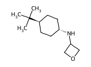 CC(C)(C)[C@H]1CC[C@H](NC2COC2)CC1